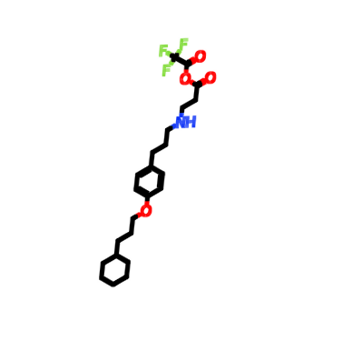 O=C(CCNCCCc1ccc(OCCCC2CCCCC2)cc1)OC(=O)C(F)(F)F